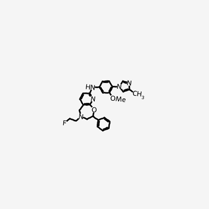 COc1cc(Nc2ccc3c(n2)OC(c2ccccc2)CN(CCF)C3)ccc1-n1cnc(C)c1